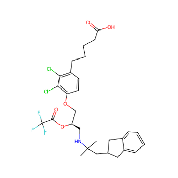 CC(C)(CC1Cc2ccccc2C1)NC[C@H](COc1ccc(CCCCC(=O)O)c(Cl)c1Cl)OC(=O)C(F)(F)F